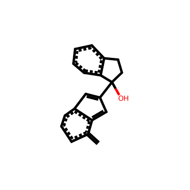 C=c1cccc2c1=CC(C1(O)CCc3ccccc31)=C2